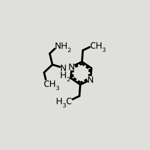 CCC(N)CN.CCc1cnc(CC)cn1